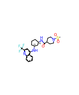 CS(=O)(=O)N1CCC(C(=O)N[C@@H]2CCC[C@H](Nc3cc(C(F)(F)F)nc4ccccc34)C2)CC1